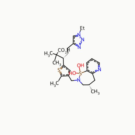 CCn1cc(CC[C@H](c2cc(CN3C[C@@H](C)Cc4ncccc4S3(O)O)c(C)s2)C(C)(C)C(=O)O)nn1